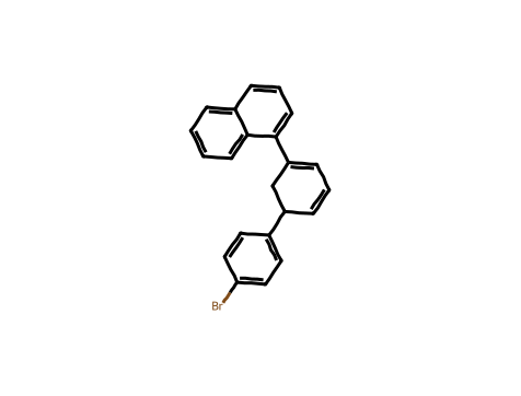 Brc1ccc(C2C=CC=C(c3cccc4ccccc34)C2)cc1